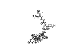 C[C@]12C=CC(=O)C=C1CC[C@H]1[C@@H]3C[C@@H](O)[C@](O)(C(=O)COC(=O)NC(COC(=O)CCCC(CO[N+](=O)[O-])O[N+](=O)[O-])C(=O)O)[C@@]3(C)C[C@H](O)[C@@]12F